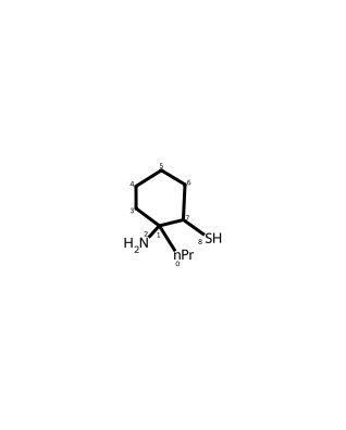 CCCC1(N)CCCCC1S